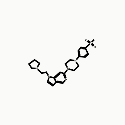 CS(=O)(=O)c1ccc(N2CCN(c3cc4c(ccn4CCN4CCCC4)cn3)CC2)cc1